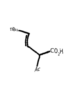 CCCCC=CC(C(C)=O)C(=O)O